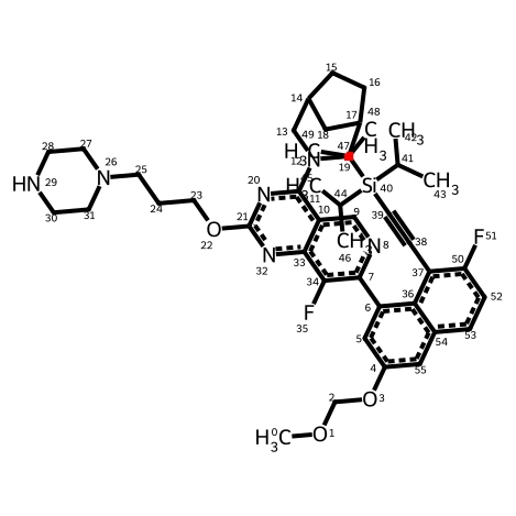 COCOc1cc(-c2ncc3c(N4CC5CCC(C5)C4)nc(OCCCN4CCNCC4)nc3c2F)c2c(C#C[Si](C(C)C)(C(C)C)C(C)C)c(F)ccc2c1